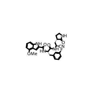 COc1cccc2[nH]c(C(=O)N[C@@H](Cc3cccc(F)c3)C(=O)N[C@H](C#N)C[C@@H]3CCNC3=O)cc12